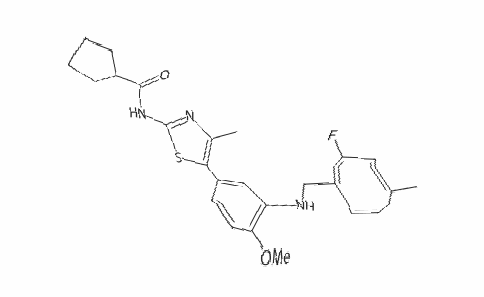 COc1ccc(-c2sc(NC(=O)C3CCCC3)nc2C)cc1NCc1ccc(C)cc1F